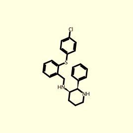 Clc1ccc(Sc2ccccc2CN[C@@H]2CCCN[C@@H]2c2ccccc2)cc1